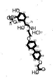 C[C@H](NCCOc1ccc(-c2ccc(OCC(=O)O)cc2)cc1)[C@H](O)c1ccc(O)c(NS(C)(=O)=O)c1.Cl